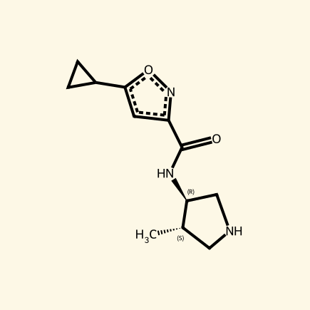 C[C@H]1CNC[C@@H]1NC(=O)c1cc(C2CC2)on1